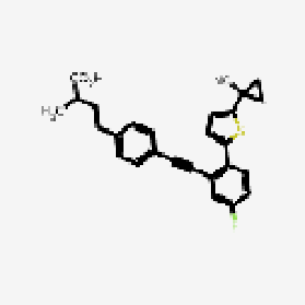 CC(CCc1ccc(C#Cc2cc(F)ccc2-c2ccc(C3(C#N)CC3)s2)cc1)C(=O)O